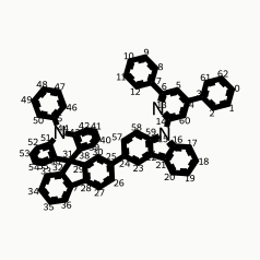 c1ccc(-c2cc(-c3ccccc3)nc(-n3c4ccccc4c4cc(-c5ccc6c(c5)C5(c7ccccc7-6)c6ccccc6N(c6ccccc6)c6ccccc65)ccc43)c2)cc1